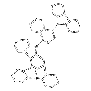 c1ccc2c(-n3c4ccccc4c4c5c6ccccc6n6c7ccccc7c(cc43)c56)nnc(-n3c4ccccc4c4ccccc43)c2c1